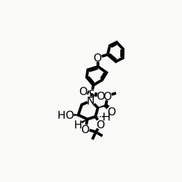 COC(=O)[C@H]1[C@H]2OC(C)(C)O[C@@H]2[C@@H](O)CN1S(=O)(=O)c1ccc(Oc2ccccc2)cc1